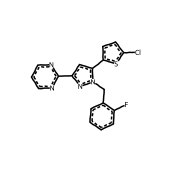 Fc1ccccc1Cn1nc(-c2ncccn2)cc1-c1ccc(Cl)s1